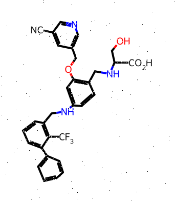 N#Cc1cncc(COc2cc(NCc3cccc(-c4ccccc4)c3C(F)(F)F)ccc2CNC(CO)C(=O)O)c1